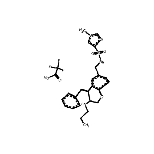 CCCNC1COc2ccc(CNS(=O)(=O)c3cn(C)cn3)cc2C1Cc1ccccc1.O=C(O)C(F)(F)F